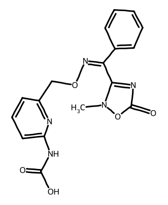 Cn1oc(=O)nc1/C(=N\OCc1cccc(NC(=O)O)n1)c1ccccc1